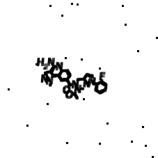 CC(=O)N(C)N(Cc1ccn(-c2ccccc2F)n1)C(=O)c1ccc2nc(N)c3cnn(C)c3c2c1